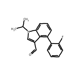 CC(C)n1cc(C=O)c2c(-c3ccccc3F)cccc21